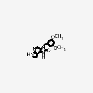 COc1cc(Cn2c(=O)[nH]c3c4cc[nH]c4ncc32)cc(OC)c1